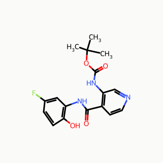 CC(C)(C)OC(=O)Nc1cnccc1C(=O)Nc1cc(F)ccc1O